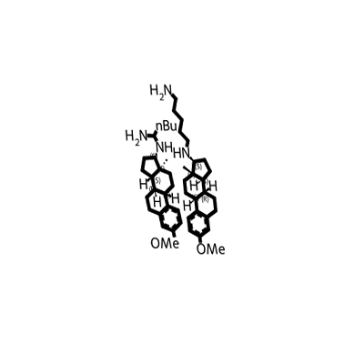 CCCCC(N)N[C@H]1CC[C@H]2[C@@H]3CCc4cc(OC)ccc4[C@H]3CC[C@]12C.COc1ccc2c(c1)CC[C@@H]1[C@@H]2CC[C@]2(C)[C@@H](NCCCCCN)CC[C@@H]12